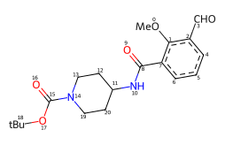 COc1c(C=O)cccc1C(=O)NC1CCN(C(=O)OC(C)(C)C)CC1